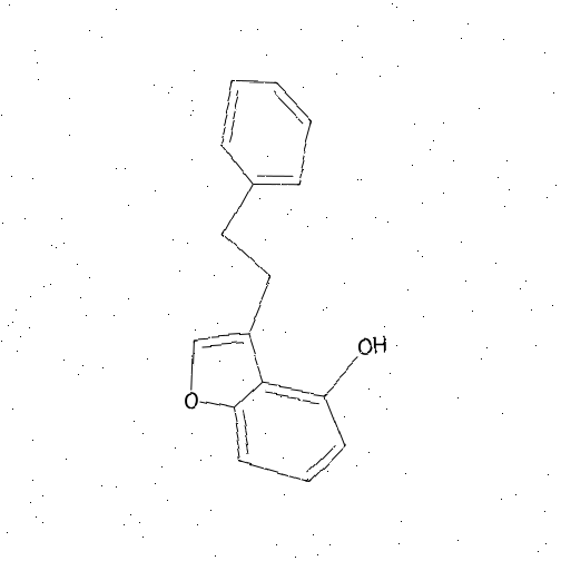 Oc1cccc2occ(CCc3ccccc3)c12